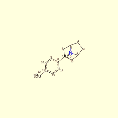 CC(=O)N1C2CCC1CC(c1ccc(C(C)(C)C)cc1)C2